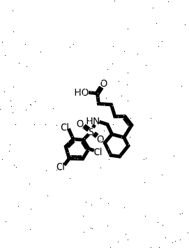 O=C(O)CCC/C=C\C1CCCCC1CNS(=O)(=O)c1c(Cl)cc(Cl)cc1Cl